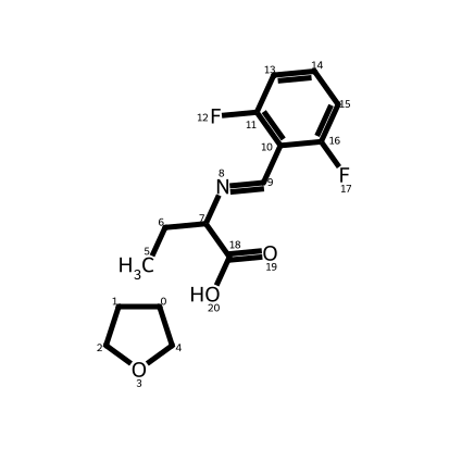 C1CCOC1.CCC(N=Cc1c(F)cccc1F)C(=O)O